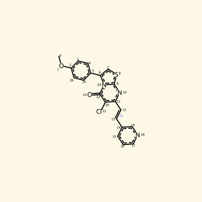 COc1ccc(-c2csc3nc(/C=C/c4cccnc4)c(Cl)c(=O)n23)cc1